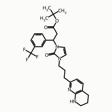 CC(C)(C)OC(=O)CC(c1cccc(C(F)(F)F)c1)n1ccn(CCCc2ccc3c(n2)NCCC3)c1=O